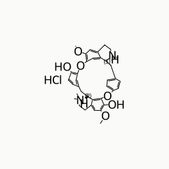 COc1cc2c3cc1Oc1cc(ccc1O)C[C@@H]1c4c(cc(OC)c(O)c4Oc4ccc(cc4)C[C@@H]3N(C)CC2)CC[N+]1(C)C.Cl